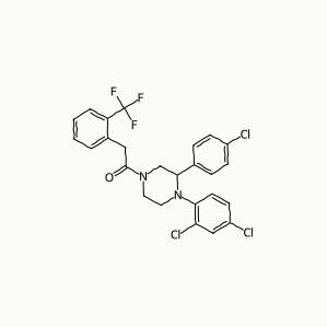 O=C(Cc1ccccc1C(F)(F)F)N1CCN(c2ccc(Cl)cc2Cl)C(c2ccc(Cl)cc2)C1